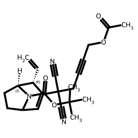 C=C[C@@H]1C(C(C#N)(C#N)CC#CCOC(C)=O)=CC2CC[C@@H]1N2C(=O)OC(C)(C)C